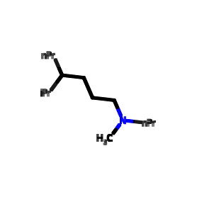 CCCC(CCCN(C)CCC)C(C)C